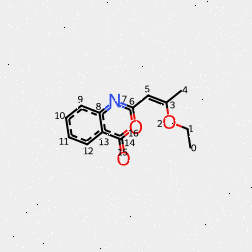 CCOC(C)=Cc1nc2ccccc2c(=O)o1